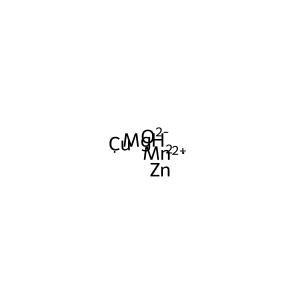 [Cu].[MgH2].[Mn+2].[O-2].[Zn]